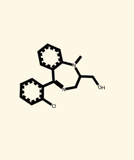 CN1c2ccccc2C(c2ccccc2Cl)=NCC1CO